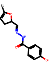 CCC1=CCC(/C=N/NC(=O)c2ccc(O)cc2)O1